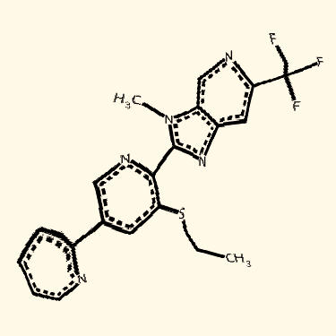 CCSc1cc(-c2ccccn2)cnc1-c1nc2cc(C(F)(F)F)ncc2n1C